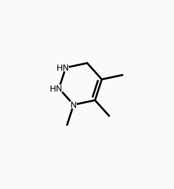 CC1=C(C)N(C)NNC1